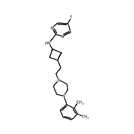 Cc1cccc(N2CCN(CCC3CC(Nc4ncc(F)cn4)C3)CC2)c1C